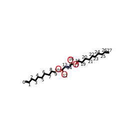 C=CCCCCCCCCOC(=O)/C=C/C(=O)OCCCCCCCCC=C